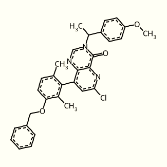 COc1ccc(C(C)n2cnc3c(-c4c(C)ccc(OCc5ccccc5)c4C)cc(Cl)nc3c2=O)cc1